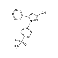 N#Cc1cc(-c2ccccc2)n(-c2ccc(S(N)(=O)=O)cc2)n1